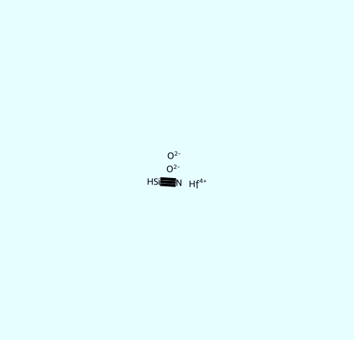 N#[SiH].[Hf+4].[O-2].[O-2]